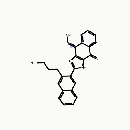 CCCCc1cc2ccccc2cc1-c1nc2c([nH]1)C(=O)c1ccccc1/C2=N\O